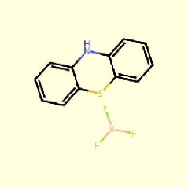 FB(F)F.c1ccc2c(c1)Nc1ccccc1S2